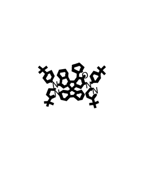 CC(C)(C)c1ccc(N(c2ccc(C(C)(C)C)cn2)c2cc3c(c4ccccc24)-c2c(cc(N(c4ccc(C(C)(C)C)cc4)c4ccc(C(C)(C)C)cn4)c4oc5ccccc5c24)C32c3ccccc3-c3ccccc32)cc1